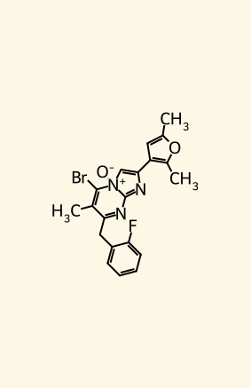 CC1=C(Br)[N+]2([O-])C=C(c3cc(C)oc3C)N=C2N=C1Cc1ccccc1F